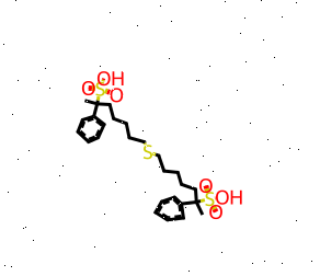 CC(CCCCCSCCCCCC(C)(c1ccccc1)S(=O)(=O)O)(c1ccccc1)S(=O)(=O)O